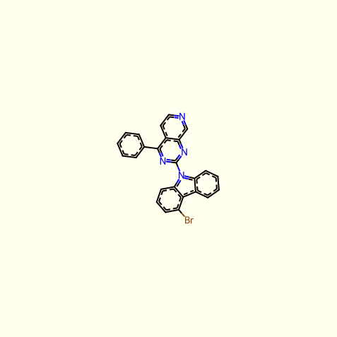 Brc1cccc2c1c1ccccc1n2-c1nc(-c2ccccc2)c2ccncc2n1